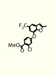 COC(=O)c1ccc(Oc2cc(C(F)(F)F)cc3cc(C)oc23)cc1Cl